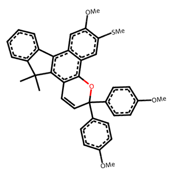 COc1ccc(C2(c3ccc(OC)cc3)C=Cc3c4c(c5cc(OC)c(SC)cc5c3O2)-c2ccccc2C4(C)C)cc1